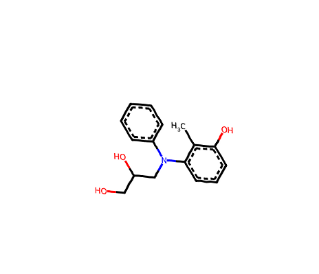 Cc1c(O)cccc1N(CC(O)CO)c1ccccc1